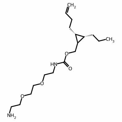 C=CCC[C@H]1C(COC(=O)NCCOCCOCCN)[C@H]1CCC